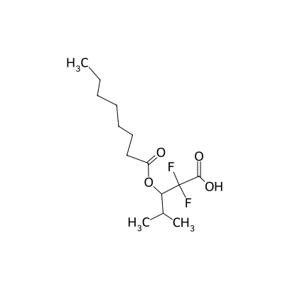 CCCCCCCC(=O)OC(C(C)C)C(F)(F)C(=O)O